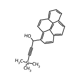 C[Si](C)(C)C#CC(O)c1ccc2ccc3cccc4ccc1c2c34